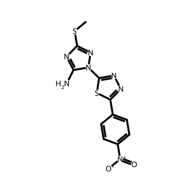 CSc1nc(N)n(-c2nnc(-c3ccc([N+](=O)[O-])cc3)s2)n1